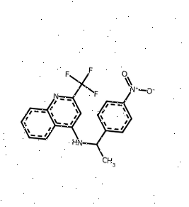 CC(Nc1cc(C(F)(F)F)nc2ccccc12)c1ccc([N+](=O)[O-])cc1